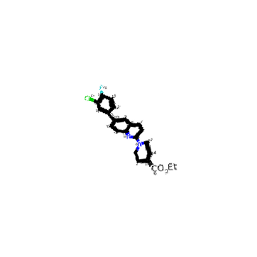 CCOC(=O)C1CCN(c2ccc3cc(-c4ccc(F)c(Cl)c4)ccc3n2)CC1